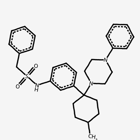 CC1CCC(c2cccc(NS(=O)(=O)Cc3ccccc3)c2)(N2CCN(c3ccccc3)CC2)CC1